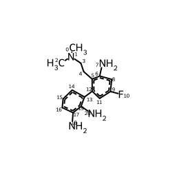 CN(C)CCc1c(N)cc(F)cc1-c1cccc(N)c1N